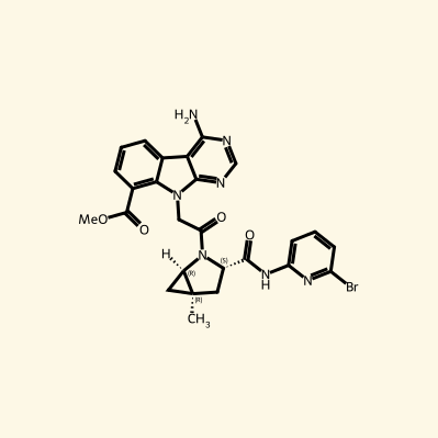 COC(=O)c1cccc2c3c(N)ncnc3n(CC(=O)N3[C@H](C(=O)Nc4cccc(Br)n4)C[C@@]4(C)C[C@@H]34)c12